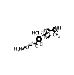 Cl.NCCOCCNC(=O)c1ccc(Nc2nccn3c(-c4c[nH]nc4C(F)(F)F)cnc23)cc1Cl